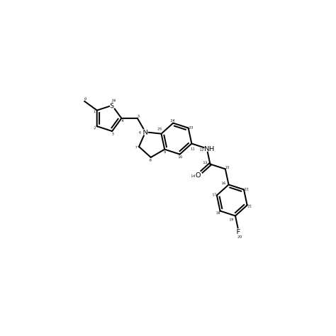 Cc1ccc(CN2CCc3cc(NC(=O)Cc4ccc(F)cc4)ccc32)s1